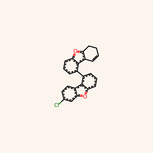 Clc1ccc2c(c1)oc1cccc(-c3cccc4oc5c(c34)C=CCC5)c12